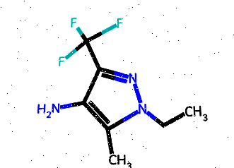 CCn1nc(C(F)(F)F)c(N)c1C